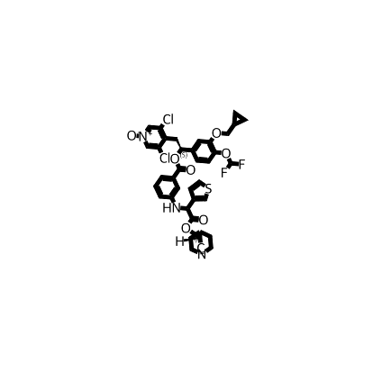 O=C(O[C@@H](Cc1c(Cl)c[n+]([O-])cc1Cl)c1ccc(OC(F)F)c(OCC2CC2)c1)c1cccc(NC(C(=O)O[C@H]2CN3CCC2CC3)c2ccsc2)c1